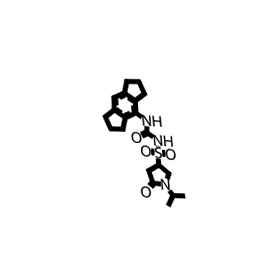 CC(C)N1CC(S(=O)(=O)NC(=O)Nc2c3c(cc4c2CCC4)CCC3)CC1=O